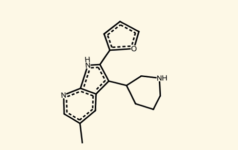 Cc1cnc2[nH]c(-c3ccco3)c(C3CCCNC3)c2c1